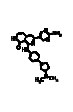 CN(C)C1CCN(c2ccc(Nc3nc(-c4cnc(N)nc4)cc4cc[nH]c(=O)c34)cc2)C1